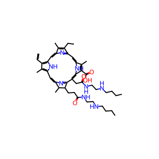 C=Cc1c(C)c2cc3nc(c(CC(=O)NCCNCCCC)c4[nH]c(cc5nc(cc1[nH]2)C(C)=C5CC)c(C)c4C(=O)O)C(CCC(=O)NCCNCCCC)C3C